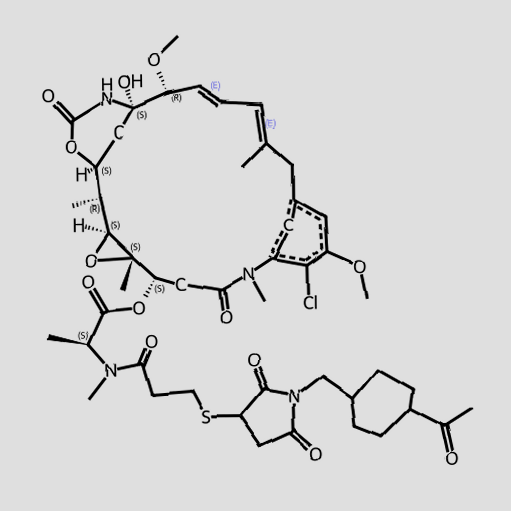 COc1cc2cc(c1Cl)N(C)C(=O)C[C@H](OC(=O)[C@H](C)N(C)C(=O)CCSC1CC(=O)N(CC3CCC(C(C)=O)CC3)C1=O)[C@]1(C)O[C@H]1[C@H](C)[C@@H]1C[C@@](O)(NC(=O)O1)[C@H](OC)/C=C/C=C(\C)C2